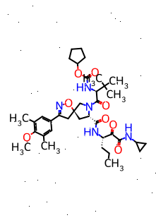 CCC[C@H](NC(=O)[C@@H]1C[C@]2(CC(c3cc(C)c(OC)c(C)c3)=NO2)CN1C(=O)[C@@H](NC(=O)OC1CCCC1)C(C)(C)C)C(=O)C(=O)NC1CC1